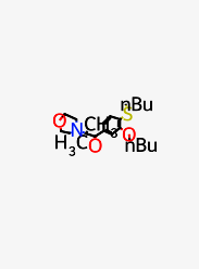 CCCCOc1cc(C(=O)C(C)(C)N2CCOCC2)ccc1SCCCC